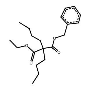 CCCCC(CCCC)(C(=O)OCC)C(=O)OCc1ccccc1